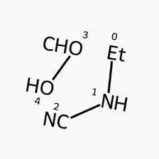 CCNC#N.O=CO